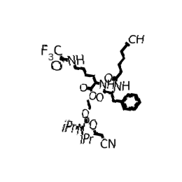 C#CCCCCC(=O)NC(Cc1ccccc1)C(=O)NC(CCCCNC(=O)C(F)(F)F)C(=O)OCCOP(OCCC#N)N(C(C)C)C(C)C